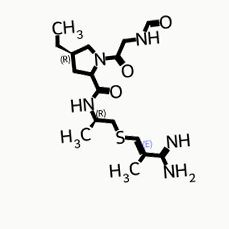 CC[C@@H]1CC(C(=O)N[C@H](C)CS/C=C(\C)C(=N)N)N(C(=O)CNC=O)C1